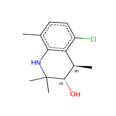 Cc1ccc(Cl)c2c1NC(C)(C)[C@@H](O)[C@@H]2C